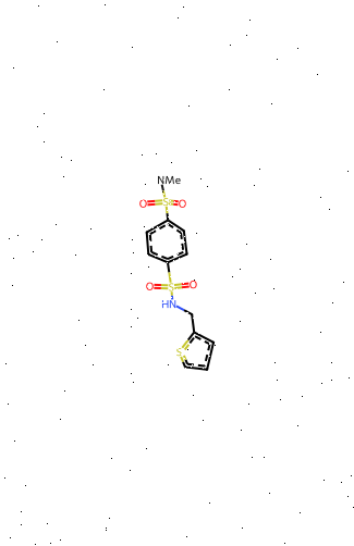 CNS(=O)(=O)c1ccc(S(=O)(=O)NCc2cccs2)cc1